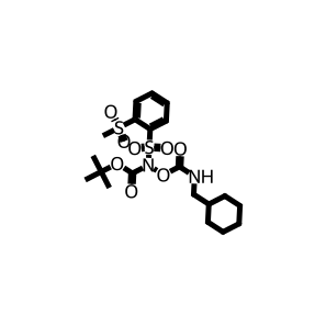 CC(C)(C)OC(=O)N(OC(=O)NCC1CCCCC1)S(=O)(=O)c1ccccc1S(C)(=O)=O